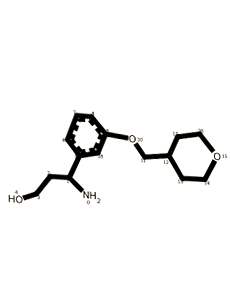 NC(CCO)c1cccc(OCC2CCOCC2)c1